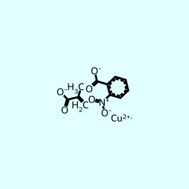 C=C(C)C(=O)[O-].O=C([O-])c1ccccc1[N+](=O)[O-].[Cu+2]